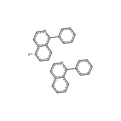 [Ir+3].c1ccc(-c2nccc3ccccc23)cc1.c1ccc(-c2nccc3ccccc23)cc1